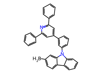 Bc1ccc2c3ccccc3n(-c3cccc(-c4cc(-c5ccccc5)nc(-c5ccccc5)c4)c3)c2c1